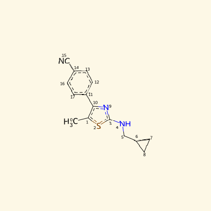 Cc1sc(NCC2CC2)nc1-c1ccc(C#N)cc1